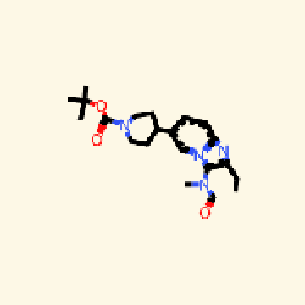 CCc1nc2ccc(C3CCN(C(=O)OC(C)(C)C)CC3)cn2c1N(C)C=O